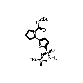 CC(C)(C)OC(=O)N1CCC[C@@H]1c1ccc(S(N)(=O)=N[Si](C)(C)C(C)(C)C)s1